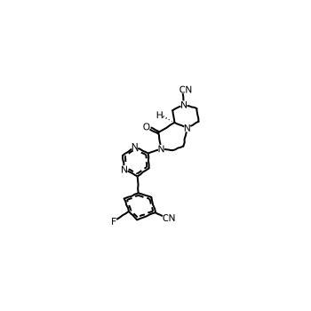 N#Cc1cc(F)cc(-c2cc(N3CCN4CCN(C#N)C[C@@H]4C3=O)ncn2)c1